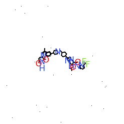 Cc1cn(C2CCC(=O)NC2=O)c2ccc(C3CCN(CC4CCC(c5cn6cc(C(=O)Nc7cccc(C(F)F)n7)c(OC(C)C)cc6n5)CC4)CC3)cc12